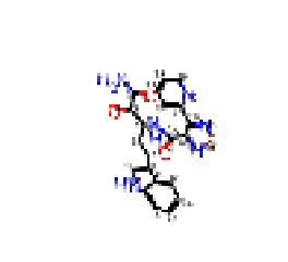 NC(=O)C(=O)C(CCc1c[nH]c2ccccc12)NC(=O)c1nsnc1-c1ccccn1